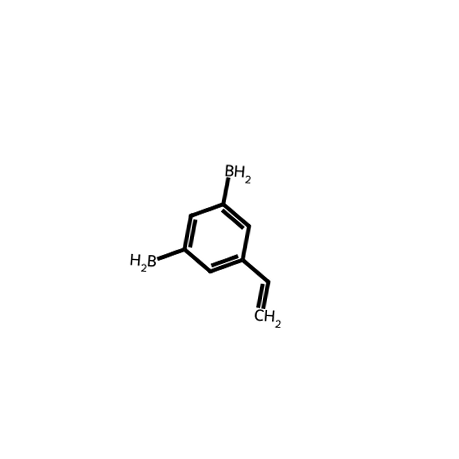 Bc1cc(B)cc(C=C)c1